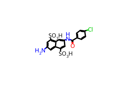 Nc1cc(S(=O)(=O)O)c2cc(NC(=O)c3ccc(Cl)cc3)cc(S(=O)(=O)O)c2c1